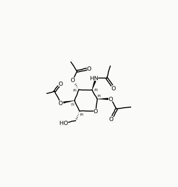 CC(=O)N[C@H]1[C@@H](OC(C)=O)O[C@H](CO)[C@@H](OC(C)=O)[C@@H]1OC(C)=O